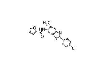 Cc1cc2nn(-c3ccc(Cl)cc3)nc2cc1NC(=O)c1ccco1